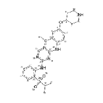 COc1cc(OC2CCNCC2)ccc1Nc1ncnc(Nc2ccccc2S(=O)(=O)C(C)C)n1